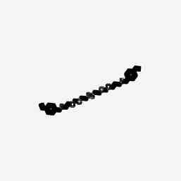 C=Cc1ccc(CSCCCOCOCCSSCCOCOCCSCc2ccc(C=C)cc2)cc1